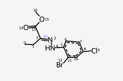 CC/C(=N\Nc1ccc(Cl)cc1Br)C(=O)OC